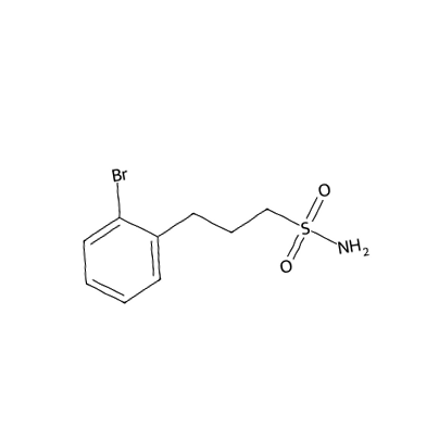 NS(=O)(=O)CCCc1ccccc1Br